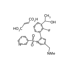 CNCc1cc(-c2cccc(C(C)O)c2F)n(S(=O)(=O)c2cccnc2)c1.O=C(O)C=CC(=O)O